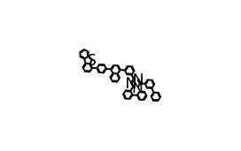 c1ccc(-c2cccc(-c3nc(-c4cccc(-c5ccc(-c6ccc(-c7cccc8c7sc7ccccc78)cc6)c6ccccc56)c4)nc(-c4ccccc4-c4ccccc4)n3)c2)cc1